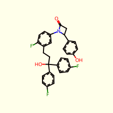 O=C1CC(c2ccc(O)cc2)N1c1ccc(F)c(CCC(O)(c2ccc(F)cc2)c2ccc(F)cc2)c1